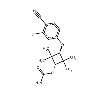 CC1(C)[C@H](OC(N)=O)C(C)(C)[C@H]1Oc1ccc(C#N)c(Cl)c1